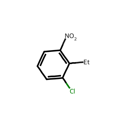 CCc1c(Cl)cccc1[N+](=O)[O-]